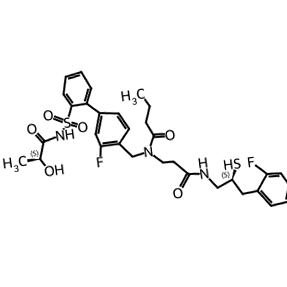 CCCC(=O)N(CCC(=O)NC[C@@H](S)Cc1ccccc1F)Cc1ccc(-c2ccccc2S(=O)(=O)NC(=O)[C@H](C)O)cc1F